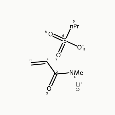 C=CC(=O)NC.CCCS(=O)(=O)[O-].[Li+]